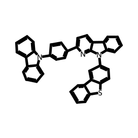 c1ccc2c(c1)sc1ccc(-n3c4ccccc4c4ccc(-c5ccc(-n6c7ccccc7c7ccccc76)cc5)nc43)cc12